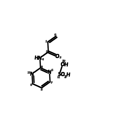 C=CC(=O)Nc1ncccn1.O=S(=O)(O)O